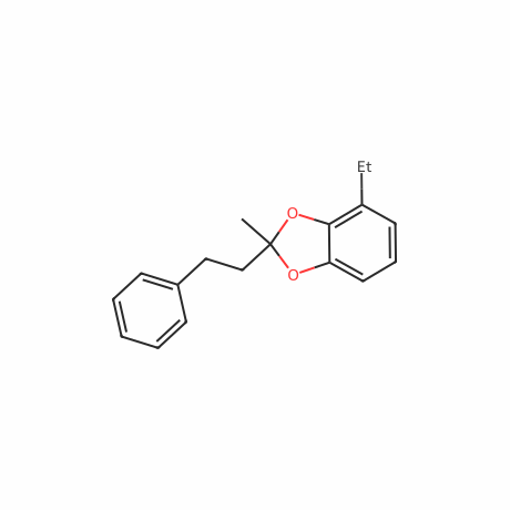 CCc1cccc2c1OC(C)(CCc1ccccc1)O2